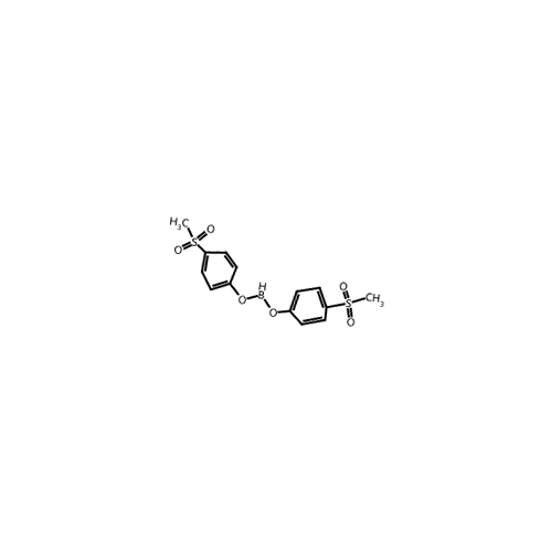 CS(=O)(=O)c1ccc(OBOc2ccc(S(C)(=O)=O)cc2)cc1